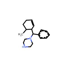 CC1CCC=CC1C(c1ccccc1)N1CCNCC1